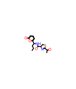 CCCC(NC(=O)C1CSC(C(C)=O)=N1)c1cccc(=O)o1